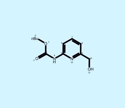 CCCCOC(=O)Nc1cccc(CO)n1